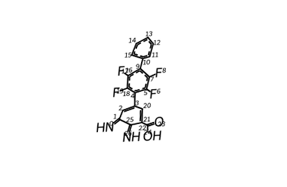 N=C1C=C(c2c(F)c(F)c(-c3ccccc3)c(F)c2F)C=C(C(=O)O)C1=N